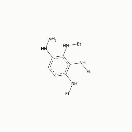 CCNc1ccc(N[SiH3])c(NCC)c1NCC